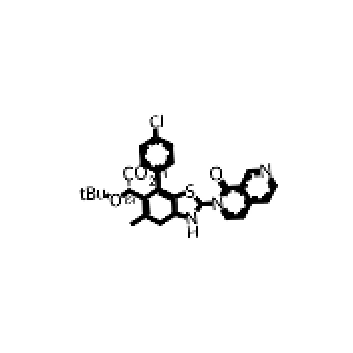 CC1=C([C@H](OC(C)(C)C)C(=O)O)C(c2ccc(Cl)cc2)=C2SC(n3ccc4ccncc4c3=O)NC2C1